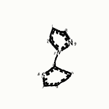 [c]1ccn(-c2cccs2)n1